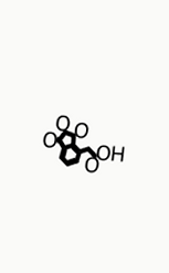 O=C(O)Cc1cccc2c(=O)c(=O)c(=O)c12